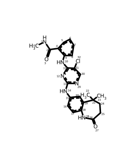 CNC(=O)c1ccccc1Nc1nc(Nc2ccc3c(c2)C(C)(C)CCC(=O)N3)ncc1Cl